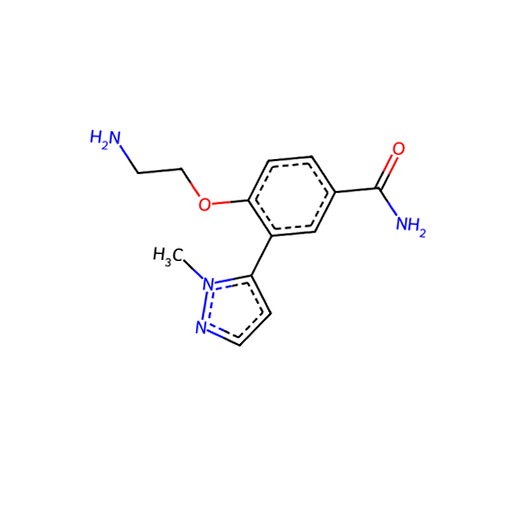 Cn1nccc1-c1cc(C(N)=O)ccc1OCCN